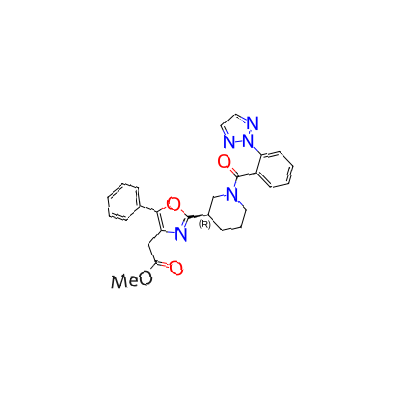 COC(=O)Cc1nc([C@@H]2CCCN(C(=O)c3ccccc3-n3nccn3)C2)oc1-c1ccccc1